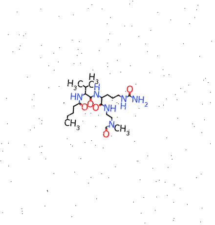 CCCCC(=O)NC(C(=O)NC(CCCNC(N)=O)C(=O)NCCN(C)C=O)C(C)C